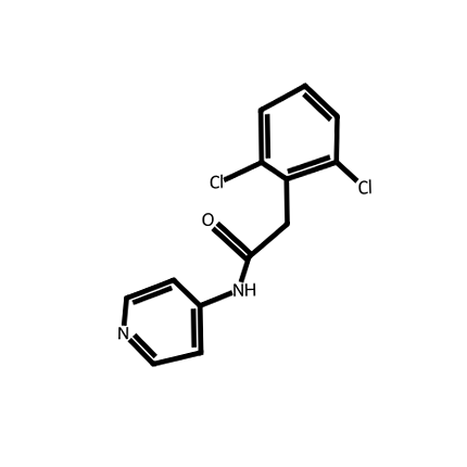 O=C(Cc1c(Cl)cccc1Cl)Nc1ccncc1